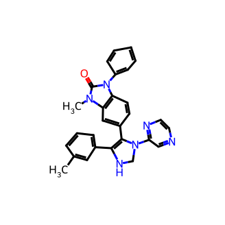 Cc1cccc(C2=C(c3ccc4c(c3)n(C)c(=O)n4-c3ccccc3)N(c3cnccn3)CN2)c1